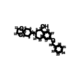 OC1CN(C2CCC3(CC2)OCCO3)CCc2cc(OCc3ccccc3)ccc21